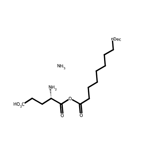 CCCCCCCCCCCCCCCCCC(=O)OC(=O)[C@@H](N)CCC(=O)O.N